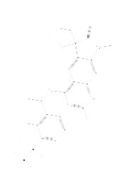 Cc1nc(NC(C)c2cccc(C(F)(F)C(C)(C)O)c2F)c2cc3c(cc2n1)N(C)C(=O)C3(CF)CF